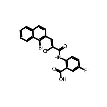 O=C(Nc1ccc(F)cc1C(=O)O)C(Cl)=Cc1ccc2ccccc2c1Br